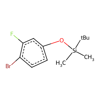 CC(C)(C)[Si](C)(C)Oc1ccc(Br)c(F)c1